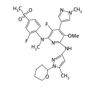 COc1c(Nc2cc(C)n(C3CCCCO3)n2)nc(N(C)c2ccc(S(C)(=O)=O)cc2F)c(F)c1-c1cnn(C)c1